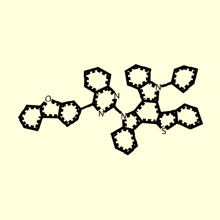 c1ccc(-n2c3ccccc3c3c4c(c5ccccc5n4-c4nc(-c5ccc6c(c5)oc5ccccc56)c5ccccc5n4)c4sc5ccccc5c4c32)cc1